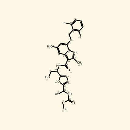 Cc1cc(OCc2c(F)cccc2F)n2nc(C)c(C(=O)NC(CO)c3nnc(C(NC(=O)OC(C)(C)C)C(C)C)o3)c2c1